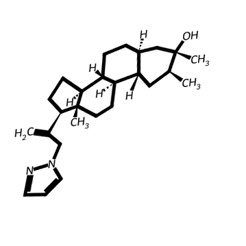 C=C(Cn1cccn1)[C@H]1CC[C@H]2[C@@H]3CC[C@H]4C[C@](C)(O)[C@@H](C)C[C@@H]4[C@H]3CC[C@]12C